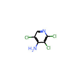 Nc1c(Cl)cnc(Cl)c1Cl